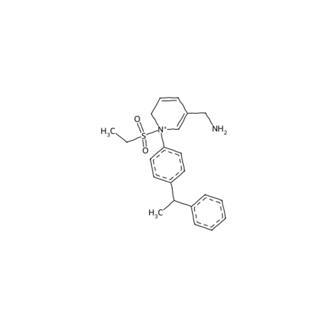 CCS(=O)(=O)[N+]1(c2ccc(C(C)c3ccccc3)cc2)C=C(CN)C=CC1